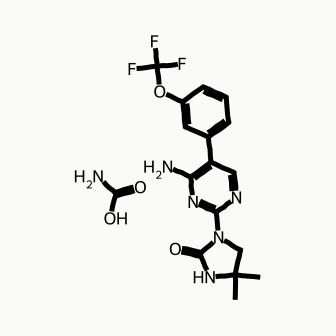 CC1(C)CN(c2ncc(-c3cccc(OC(F)(F)F)c3)c(N)n2)C(=O)N1.NC(=O)O